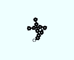 Clc1ccc2ccc(-c3ccc4c5c3-c3ccccc3-n3c6ccccc6c6ccc(c-5c63)C4(c3ccc(-c4ccccc4)cc3)c3ccc(-c4ccccc4)cc3)cc2c1